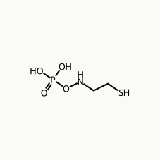 O=P(O)(O)ONCCS